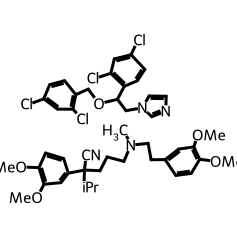 COc1ccc(CCN(C)CCCC(C#N)(c2ccc(OC)c(OC)c2)C(C)C)cc1OC.Clc1ccc(COC(Cn2ccnc2)c2ccc(Cl)cc2Cl)c(Cl)c1